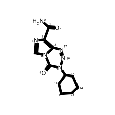 NC(=O)c1ncn2c(=O)n(C3CCCCC3)nnc12